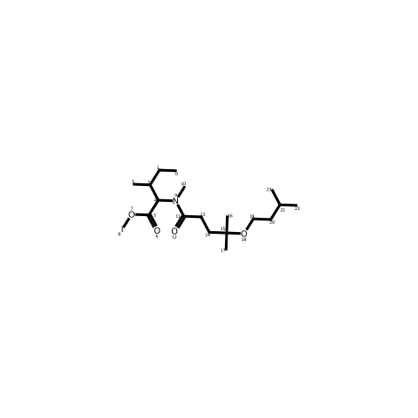 CCC(C)C(C(=O)OI)N(C)C(=O)CCC(C)(C)OCCC(C)C